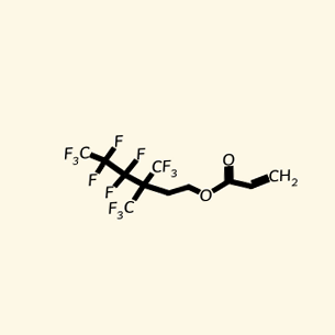 C=CC(=O)OCCC(C(F)(F)F)(C(F)(F)F)C(F)(F)C(F)(F)C(F)(F)F